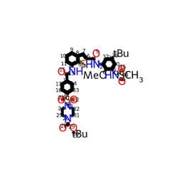 COc1c(NC(=O)c2cc3cccc(NC(=O)c4ccc(S(=O)(=O)N5CCN(C(=O)OC(C)(C)C)CC5)cc4)c3s2)cc(C(C)(C)C)cc1NS(C)(=O)=O